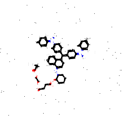 CCC(C)(C)C(=O)OCCOC(=O)CCC(=O)OC1CCCCC1Nc1ccc(C(=C2C=CC(N(C)c3c(C)cc(C)cc3C)C=C2)c2ccc(N(C)c3c(C)cc(C)cc3C)cc2)c2ccccc12